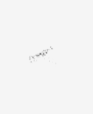 CCCCCCCC(=O)N[C@H](CNCCCC)Cc1ccc2c(c1)OCCO2